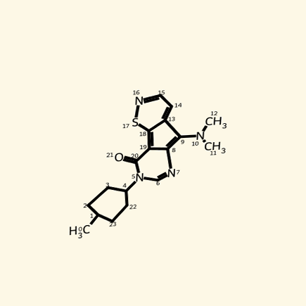 CC1CCC(n2cnc3c(N(C)C)c4ccnsc-4c3c2=O)CC1